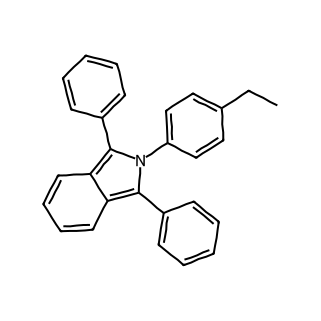 CCc1ccc(-n2c(-c3ccccc3)c3ccccc3c2-c2ccccc2)cc1